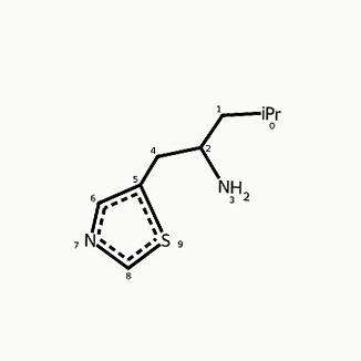 CC(C)CC(N)Cc1cncs1